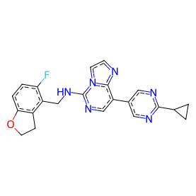 Fc1ccc2c(c1CNc1ncc(-c3cnc(C4CC4)nc3)c3nccn13)CCO2